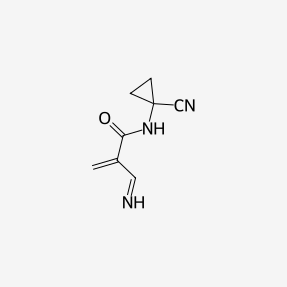 C=C(C=N)C(=O)NC1(C#N)CC1